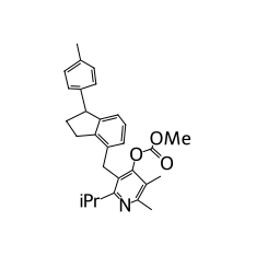 COC(=O)Oc1c(C)c(C)nc(C(C)C)c1Cc1cccc2c1CCC2c1ccc(C)cc1